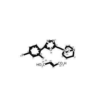 Fc1ccc(-c2nnc(N3CCN4CCC3CC4)o2)c(F)c1.O=C(O)/C=C/C(=O)O